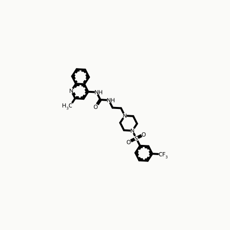 Cc1cc(NC(=O)NCCN2CCN(S(=O)(=O)c3cccc(C(F)(F)F)c3)CC2)c2ccccc2n1